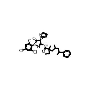 CCC(C)(CC(C)CC(C)c1ccccc1)C(=O)NC1=NN(c2c(Cl)cc(Cl)cc2Cl)C(=O)C1n1cccn1